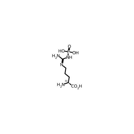 NC(=NCCC[C@H](N)C(=O)O)NP(=O)(O)O